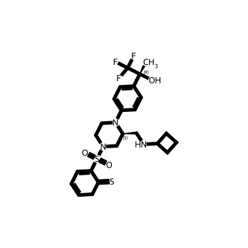 C[C@@](O)(c1ccc(N2CCN(S(=O)(=O)C3=CC=CCC3=S)C[C@@H]2CNC2CCC2)cc1)C(F)(F)F